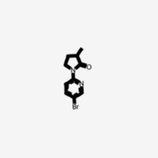 CC1CCN(c2ccc(Br)cn2)C1=O